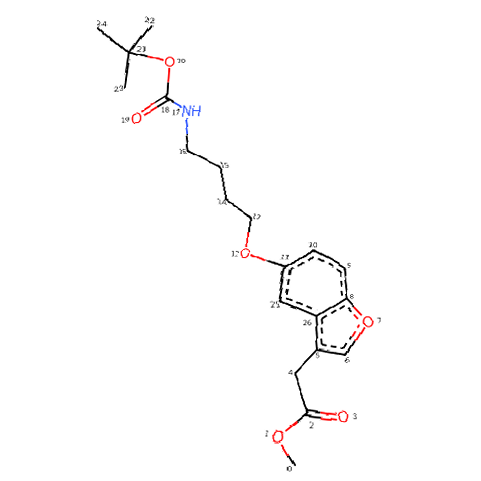 COC(=O)Cc1coc2ccc(OCCCCNC(=O)OC(C)(C)C)cc12